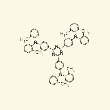 Cc1ccccc1N(c1ccc(-c2nc(-c3ccc(N(c4ccccc4C)c4ccccc4C)cc3)nc(-c3ccc(N(c4ccccc4C)c4ccccc4C)cc3)n2)cc1)c1ccccc1C